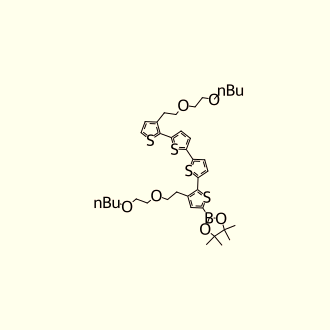 CCCCOCCOCCc1ccsc1-c1ccc(-c2ccc(-c3sc(B4OC(C)(C)C(C)(C)O4)cc3CCOCCOCCCC)s2)s1